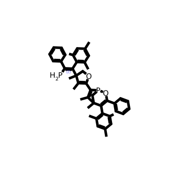 CC1=C(C2=C(C)C(C)(/C(=C(\P)c3ccccc3)c3c(C)cc(C)cc3C)CO2)P2CC1(C)C(c1c(C)cc(C)cc1C)=C(c1ccccc1)O2